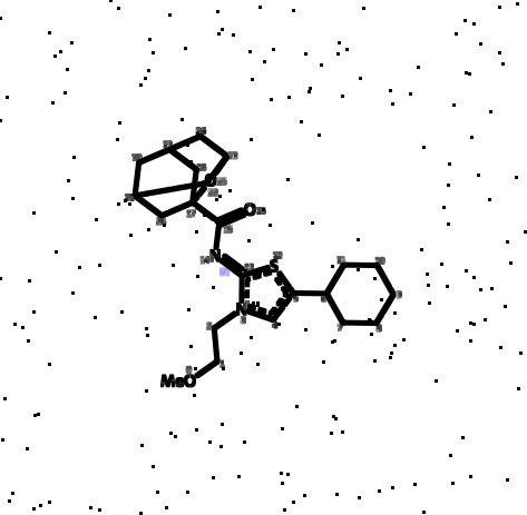 COCCn1cc(C2CCCCC2)s/c1=N\C(=O)C12CC3CC(CC(C3)O1)C2